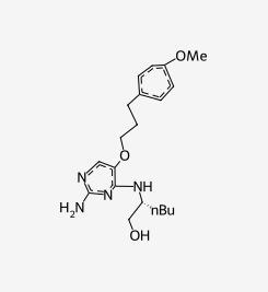 CCCC[C@H](CO)Nc1nc(N)ncc1OCCCc1ccc(OC)cc1